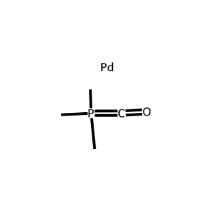 CP(C)(C)=C=O.[Pd]